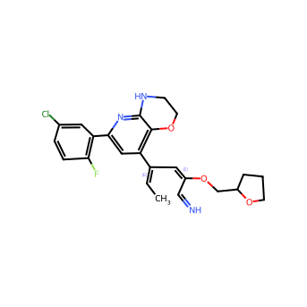 C/C=C(\C=C(/C=N)OCC1CCCO1)c1cc(-c2cc(Cl)ccc2F)nc2c1OCCN2